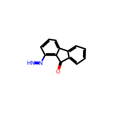 N=Nc1cccc2c1C(=O)c1ccccc1-2